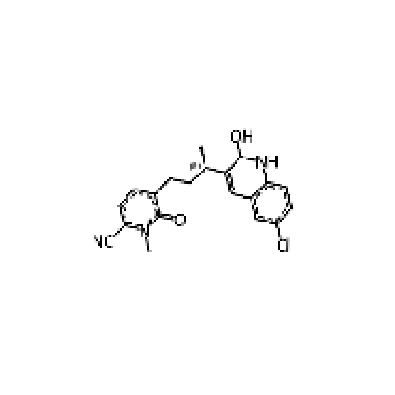 C[C@H](CCc1ccc(C#N)n(C)c1=O)C1=Cc2cc(Cl)ccc2NC1O